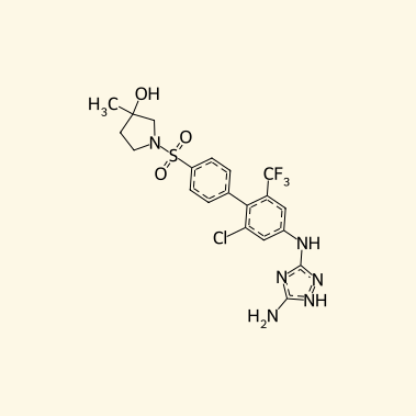 CC1(O)CCN(S(=O)(=O)c2ccc(-c3c(Cl)cc(Nc4n[nH]c(N)n4)cc3C(F)(F)F)cc2)C1